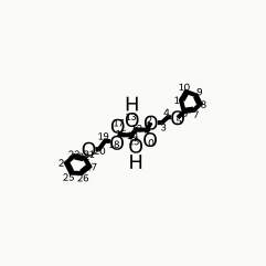 O=C(OCCOc1ccccc1)C(O)C(O)C(=O)OCCOc1ccccc1